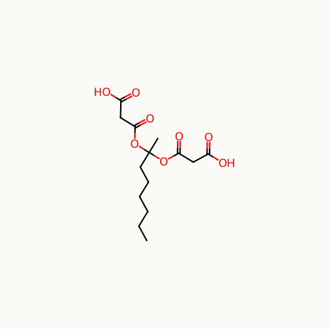 CCCCCCC(C)(OC(=O)CC(=O)O)OC(=O)CC(=O)O